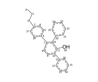 CCCc1ccc(-c2ccc(-c3ccccc3)c(O)c2-c2ccccc2)cc1